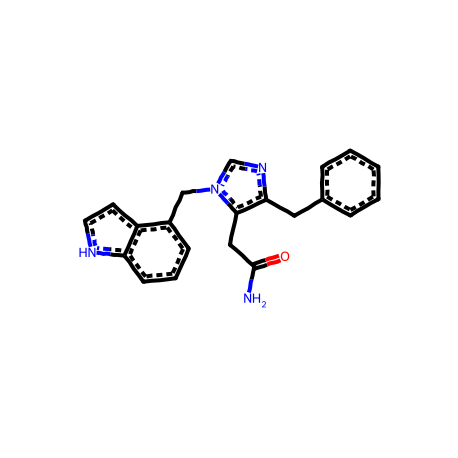 NC(=O)Cc1c(Cc2ccccc2)ncn1Cc1cccc2[nH]ccc12